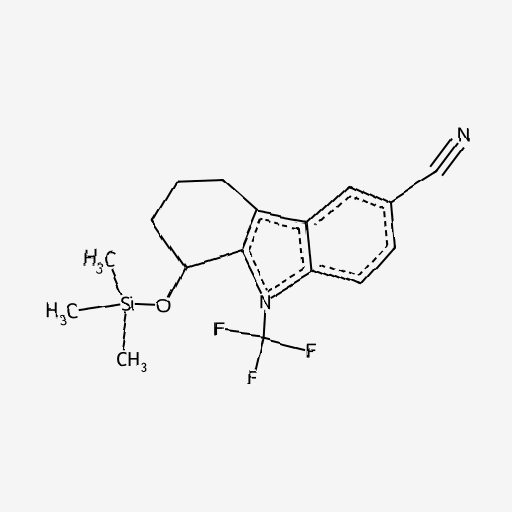 C[Si](C)(C)OC1CCCc2c1n(C(F)(F)F)c1ccc(C#N)cc21